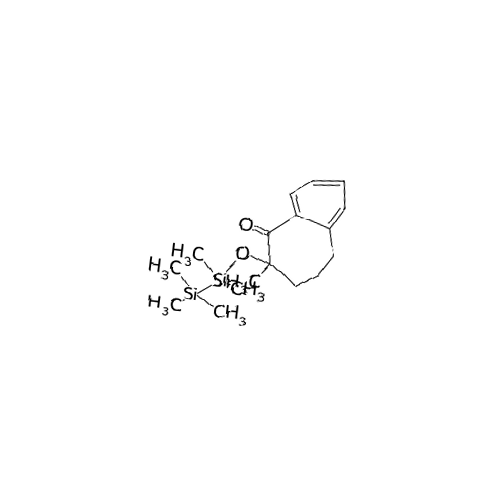 CC1(O[Si](C)(C)[Si](C)(C)C)CCCc2ccccc2C1=O